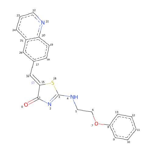 O=C1N=C(NCCOc2ccccc2)S/C1=C\c1ccc2ncccc2c1